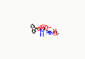 CC(C)(C)OC(=O)NCCCC[C@H](NC(=O)OCC1C2=C(CCC=C2)C2C=CC=CC21)C(=O)O